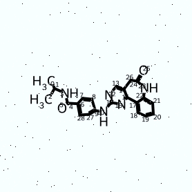 CC(C)NC(=O)c1ccc(Nc2ncc3c(n2)-c2ccccc2NC(=O)C3)cc1